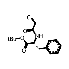 CC(C)(C)OC(=O)[C@@H](Cc1ccccc1)NC(=O)CCl